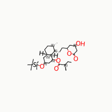 CC[C@@H](C)C(=O)O[C@H]1C[C@H](O[Si](C)(C)C(C)(C)C)C[C@@H]2CC[C@H](C)[C@H](CCC3C[C@@H](O)CC(=O)O3)[C@H]21